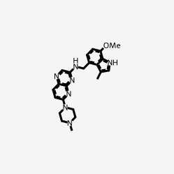 COc1ccc(CNc2cnc3ccc(N4CCN(C)CC4)nc3n2)c2c(C)c[nH]c12